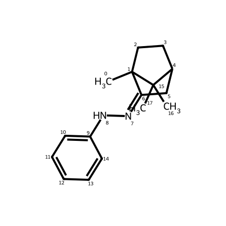 CC12CCC(CC1=NNc1ccccc1)C2(C)C